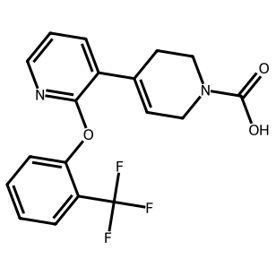 O=C(O)N1CC=C(c2cccnc2Oc2ccccc2C(F)(F)F)CC1